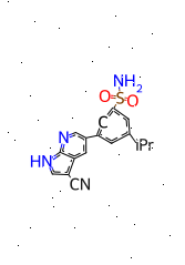 CC(C)c1cc(-c2cnc3[nH]cc(C#N)c3c2)cc(S(N)(=O)=O)c1